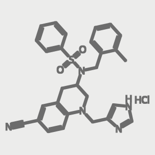 Cc1ccccc1CN(C1Cc2cc(C#N)ccc2N(Cc2c[nH]cn2)C1)S(=O)(=O)c1ccccc1.Cl